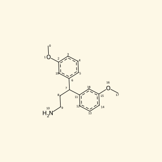 COc1cccc(C(CCN)c2cccc(OC)c2)c1